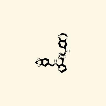 c1cnc(NCc2ccc3c(c2)OCO3)c(-c2nnc(Nc3ccc4c(c3)OCCO4)o2)c1